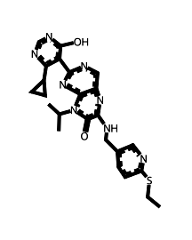 CCSc1ccc(CNc2nc3cnc(-c4c(O)ncnc4C4CC4)nc3n(C(C)C)c2=O)cn1